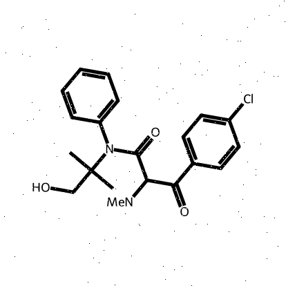 CNC(C(=O)c1ccc(Cl)cc1)C(=O)N(c1ccccc1)C(C)(C)CO